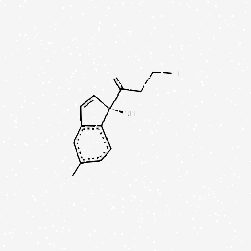 CCCC(=O)[C@@]1(N)C=Cc2cc(Cl)ccc21